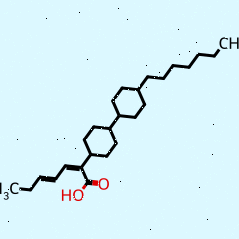 CCC=CC=C(C(=O)O)C1CCC(C2CCC(CCCCCCC)CC2)CC1